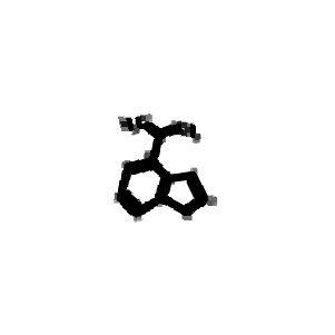 CC(C)c1cccc2c1C=CC2